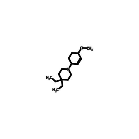 CCC1(CC)CCN(C2C=CC(OC)CC2)CC1